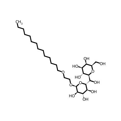 CCCCCCCCCCCCCCOCCO[C@H]1O[C@H](C(O)[C@@H]2O[C@H](CO)[C@H](O)[C@H](O)[C@H]2O)[C@@H](O)[C@H](O)[C@H]1O